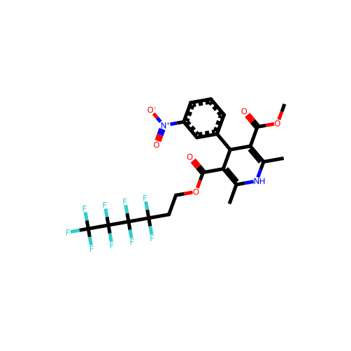 COC(=O)C1=C(C)NC(C)=C(C(=O)OCCC(F)(F)C(F)(F)C(F)(F)C(F)(F)F)C1c1cccc([N+](=O)[O-])c1